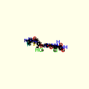 CCc1cc(N2C(=S)N(c3cnc(C#N)c(C(F)(F)F)c3)C(=O)C2(C)C)ccc1OCCN1CC2CC1CN2CC(=O)Nc1cc(Cl)cc(NC2CCC(=O)NC2=O)c1.Cl